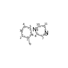 Cc1ccccc1.c1cnccn1